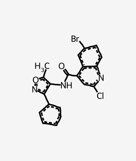 Cc1onc(-c2ccccc2)c1NC(=O)c1cc(Cl)nc2ccc(Br)cc12